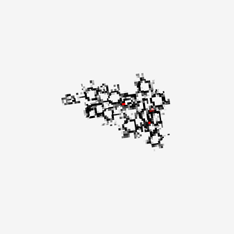 CC(C)(C)c1ccc2c(c1)C1(c3cc(C(C)(C)C)ccc3O2)c2ccccc2-c2ccc(N(c3cccc(-n4c5ccccc5c5ccccc54)c3)c3ccc4c(c3)C(c3ccccc3)(c3ccccc3)c3ccccc3-4)cc21